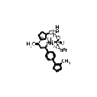 C=C(CC(C)c1ccc(C2=C(C)C=CC2)cc1)[C@H]1CCC(O[PH](C)(O)OP(=O)(O)OCCC)C1